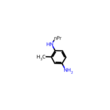 CCCNc1ccc(N)cc1C